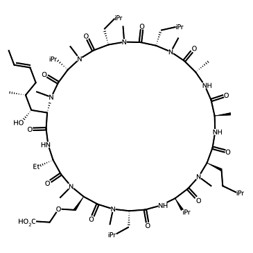 C/C=C/C[C@@H](C)[C@@H](O)[C@H]1C(=O)N[C@@H](CC)C(=O)N(C)[C@H](COCC(=O)O)C(=O)N(C)[C@@H](CC(C)C)C(=O)N[C@H](C(C)C)C(=O)N(C)[C@H](CCC(C)C)C(=O)N[C@H](C)C(=O)N[C@@H](C)C(=O)N(C)[C@@H](CC(C)C)C(=O)N(C)[C@@H](CC(C)C)C(=O)N(C)[C@@H](C(C)C)C(=O)N1C